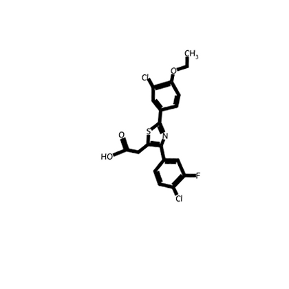 CCOc1ccc(-c2nc(-c3ccc(Cl)c(F)c3)c(CC(=O)O)s2)cc1Cl